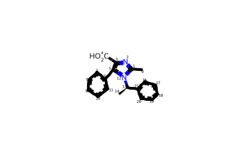 Cc1nc(C(=O)O)c(-c2ccccc2)n1[C@H](C)c1ccccc1